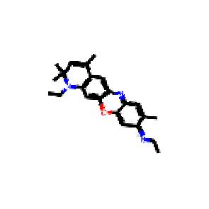 CC/N=c1/cc2oc3cc4c(cc3nc-2cc1C)C(C)=CC(C)(C)N4CC